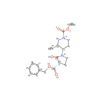 CCCCOC(=O)N1CCC(N2CC[C@H](C(=O)OCc3ccccc3)C2=O)C(CCC)C1